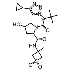 CC1(NC(=O)C2CC(O)CN2C(=O)[C@@H](n2cc(C3CC3)nn2)C(C)(C)C)CS(=O)(=O)C1